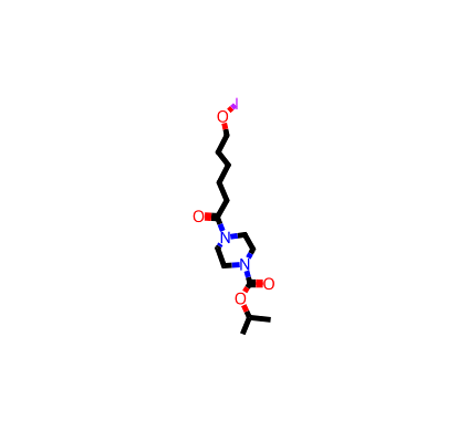 CC(C)OC(=O)N1CCN(C(=O)CCCCCOI)CC1